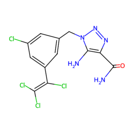 NC(=O)c1nnn(Cc2cc(Cl)cc(C(Cl)=C(Cl)Cl)c2)c1N